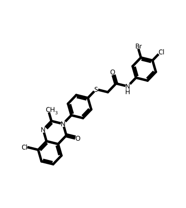 Cc1nc2c(Cl)cccc2c(=O)n1-c1ccc(SCC(=O)Nc2ccc(Cl)c(Br)c2)cc1